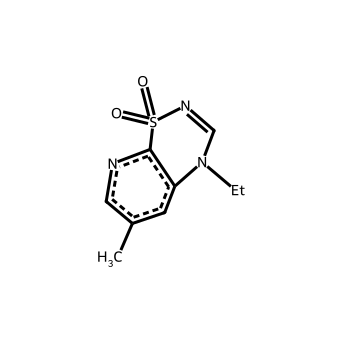 CCN1C=NS(=O)(=O)c2ncc(C)cc21